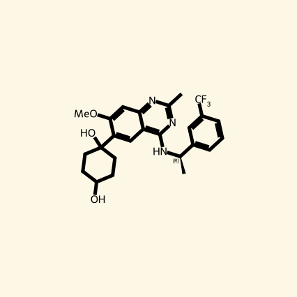 COc1cc2nc(C)nc(N[C@H](C)c3cccc(C(F)(F)F)c3)c2cc1C1(O)CCC(O)CC1